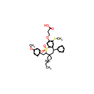 CCCCC1(CC)CC(c2ccccc2)c2cc(SC)c(OCCC(=O)O)cc2S(=O)(=O)C1Cc1ccc(OC)cc1